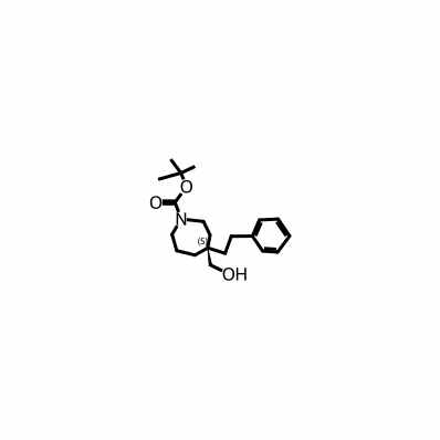 CC(C)(C)OC(=O)N1CCC[C@@](CO)(CCc2ccccc2)CC1